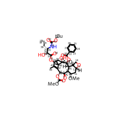 COC(=O)O[C@H]1C(=O)[C@]2(C)[C@@H](OC)C[C@H]3OC[C@@]3(OC(C)=O)[C@H]2[C@H](OC(=O)c2ccccc2)[C@]2(O)C[C@H](OC(=O)[C@H](O)[C@H](CC(C)C)NC(=O)OC(C)(C)C)C(C)=C1C2(C)C